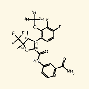 [2H]C([2H])([2H])Oc1c([C@H]2[C@@H](C(=O)Nc3ccnc(C(N)=O)c3)O[C@](C)(C(F)(F)F)[C@H]2C)ccc(F)c1F